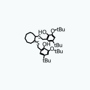 CC(C)(C)Oc1cc(C(C)(C)C)cc(CSC2CCCCCC[C@@H]2SCc2cc(C(C)(C)C)cc(OC(C)(C)C)c2O)c1O